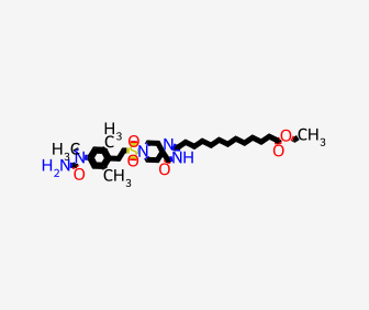 CCOC(=O)CCCCCCCCCCCC1=NC2(CCN(S(=O)(=O)CCc3c(C)cc(N(C)C(N)=O)cc3C)CC2)C(=O)N1